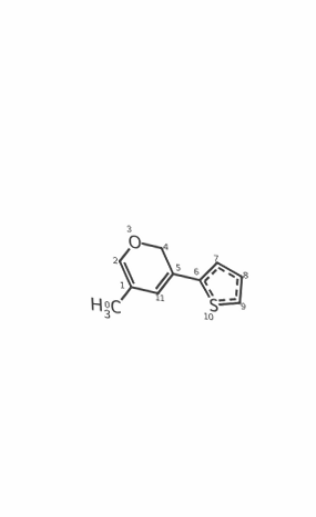 CC1=COCC(c2cccs2)=C1